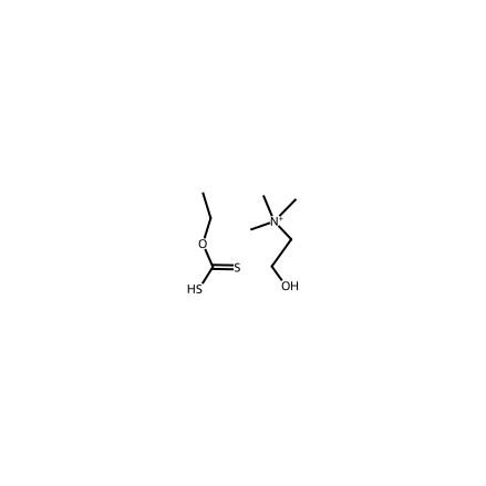 CCOC(=S)S.C[N+](C)(C)CCO